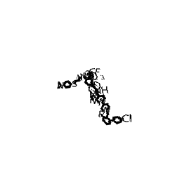 C[C@H](CCSc1ccc(N(C)C)cc1)Nc1ccc(S(=O)(=O)Nc2ncnc3c2CCN(C2CCN(Cc4c(F)cccc4-c4ccc(Cl)cc4)CC2)C3)cc1S(=O)(=O)C(F)(F)F